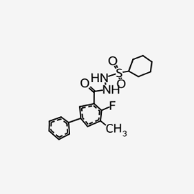 Cc1cc(-c2ccccc2)cc(C(=O)NNS(=O)(=O)C2CCCCC2)c1F